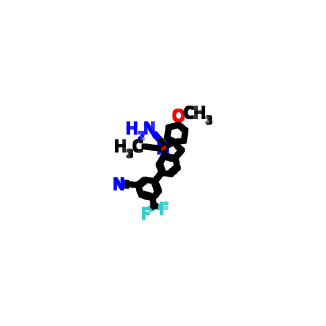 COC1CCC2(CC1)Cc1ccc(-c3cc(C#N)cc(C(F)F)c3)cc1C21N=C(C)C(N)=N1